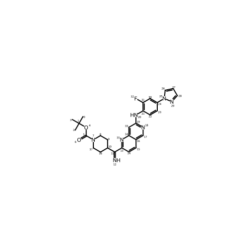 CC(C)(C)OC(=O)N1CCC(C(=N)c2ccc3cnc(Nc4ccc(-n5cccn5)cc4F)cc3n2)CC1